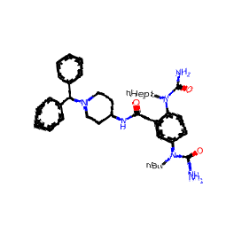 CCCCCCCN(C(N)=O)c1ccc(N(CCCC)C(N)=O)cc1C(=O)NC1CCN(C(c2ccccc2)c2ccccc2)CC1